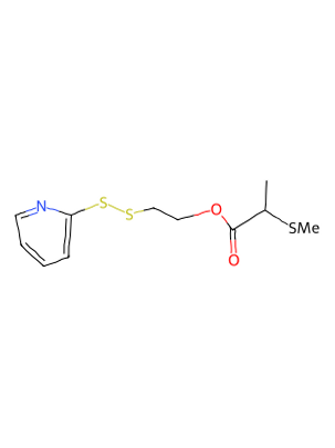 CSC(C)C(=O)OCCSSc1ccccn1